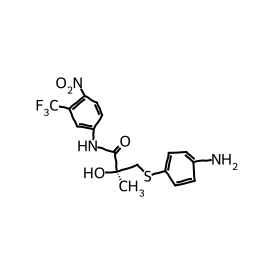 C[C@@](O)(CSc1ccc(N)cc1)C(=O)Nc1ccc([N+](=O)[O-])c(C(F)(F)F)c1